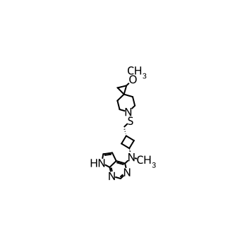 COC1CC12CCN(SC[C@H]1C[C@@H](N(C)c3ncnc4[nH]ccc34)C1)CC2